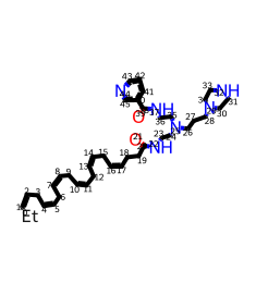 CC/C=C\C/C=C\C/C=C\C/C=C\C/C=C\C/C=C\CCC(=O)NCCN(CCCN1CCNCC1)CCNC(=O)c1cccnc1